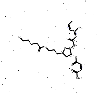 C/C=C\C(N)=N/C(=O)N[C@@H]1O[C@H](CCCOC(=O)CCCCO)C[C@H]1OC(=O)/C=C\C(=O)OC